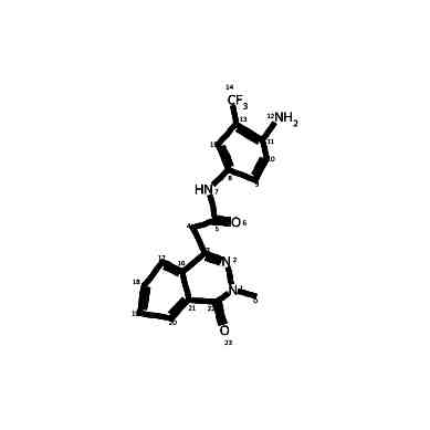 Cn1nc(CC(=O)Nc2ccc(N)c(C(F)(F)F)c2)c2ccccc2c1=O